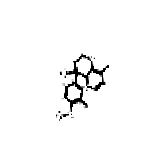 Cc1ccnc2c1OCCC2(N)c1ccc(OC(F)(F)F)c(F)c1